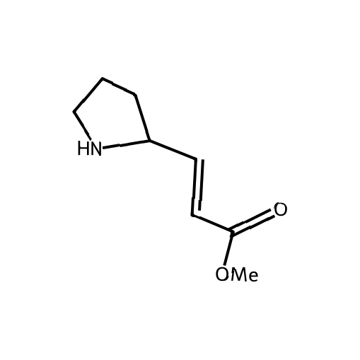 COC(=O)/C=C/C1CCCN1